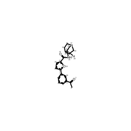 CC(=O)c1cccc(-c2ccc(C(=O)N[C@H]3CN4CCC3CC4)o2)c1